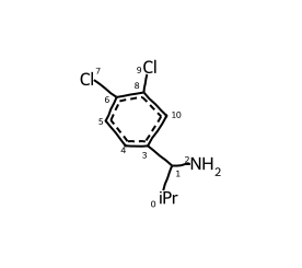 CC(C)C(N)c1ccc(Cl)c(Cl)c1